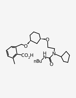 CCCCNC(=O)N(CCO[C@@H]1CCC[C@H](OCc2cccc(C)c2C(=O)O)C1)C1CCCC1